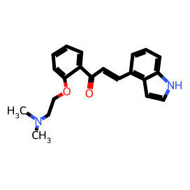 CN(C)CCOc1ccccc1C(=O)C=Cc1cccc2[nH]ccc12